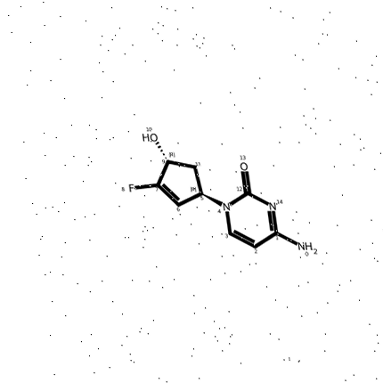 Nc1ccn([C@H]2C=C(F)[C@H](O)C2)c(=O)n1